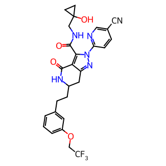 N#Cc1ccc(-n2nc3c(c2C(=O)NCC2(O)CC2)C(=O)NC(CCc2cccc(OCC(F)(F)F)c2)C3)nc1